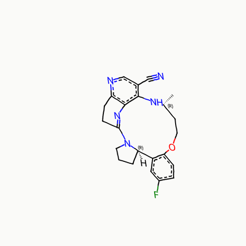 C[C@@H]1CCOc2ccc(F)cc2[C@H]2CCCN2C2=Nc3c(ncc(C#N)c3N1)CC2